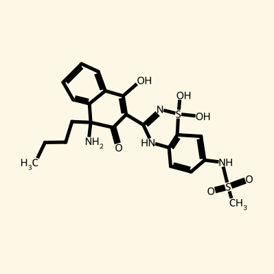 CCCCC1(N)C(=O)C(C2=NS(O)(O)c3cc(NS(C)(=O)=O)ccc3N2)=C(O)c2ccccc21